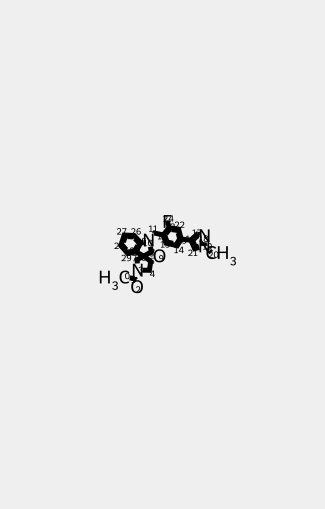 CC(=O)N1CCC2(C1)C(=O)N(Cc1ccc(-c3cnn(C)c3)cc1F)c1ccccc12